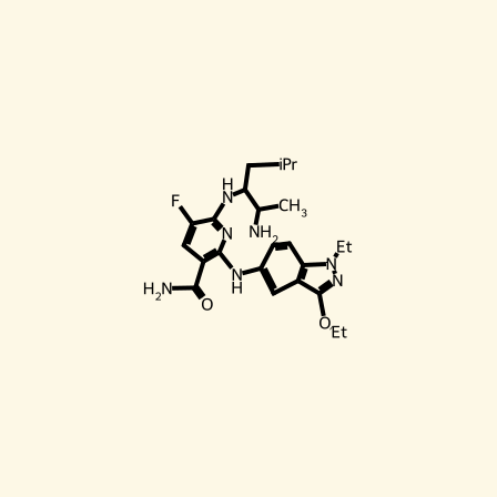 CCOc1nn(CC)c2ccc(Nc3nc(NC(CC(C)C)C(C)N)c(F)cc3C(N)=O)cc12